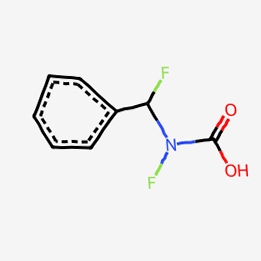 O=C(O)N(F)C(F)c1ccccc1